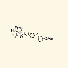 CC/C=C\C(C(=O)NCc1ccc(Sc2cccc(OC)c2)cc1)=C(/C)N